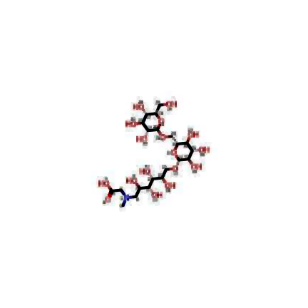 CN(CC(=O)O)CC(O)[C@@H](O)[C@H](O)[C@H](O)CO[C@@H]1O[C@H](CO[C@@H]2O[C@H](CO)[C@@H](O)[C@H](O)[C@H]2O)[C@@H](O)[C@H](O)[C@H]1O